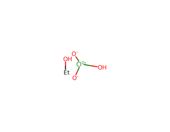 CCO.[O-][Cl+2]([O-])O